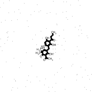 CCCC(=O)c1c(O)cc(O)c(CC2=C(O)C(C)(C)C(=O)C(C(C)=O)=C2O)c1O